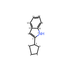 [c]1c(C2CCCC2)[nH]c2ccccc12